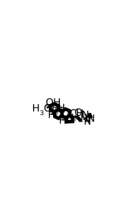 C[C@@]1(O)CC[C@@]2(F)[C@H](CC[C@H]3[C@@H]4CC[C@H](C(=O)Cn5ncnn5)[C@@]4(C)CC[C@@H]32)C1